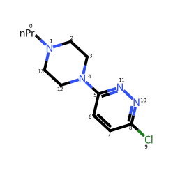 [CH2]CCN1CCN(c2ccc(Cl)nn2)CC1